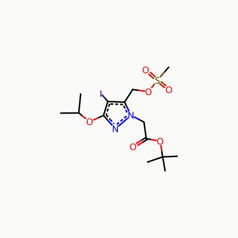 CC(C)Oc1nn(CC(=O)OC(C)(C)C)c(COS(C)(=O)=O)c1I